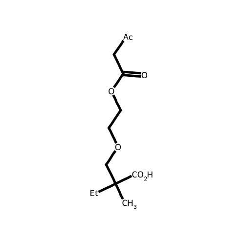 CCC(C)(COCCOC(=O)CC(C)=O)C(=O)O